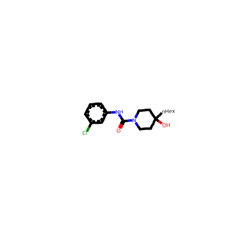 CCCCCCC1(O)CCN(C(=O)Nc2cccc(Cl)c2)CC1